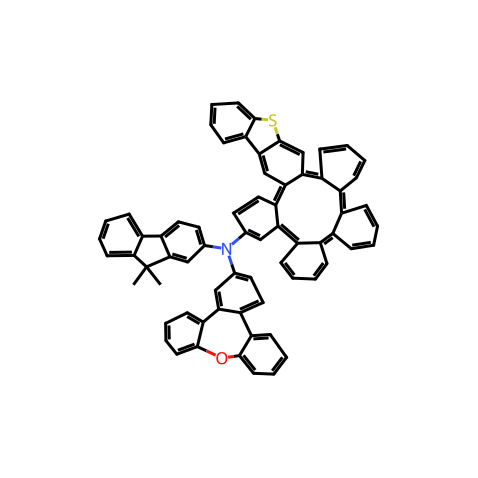 CC1(C)c2ccccc2-c2ccc(N(c3ccc4c(c3)-c3ccccc3Oc3ccccc3-4)c3ccc4c(c3)c3ccccc3c3ccccc3c3ccccc3c3cc5sc6ccccc6c5cc43)cc21